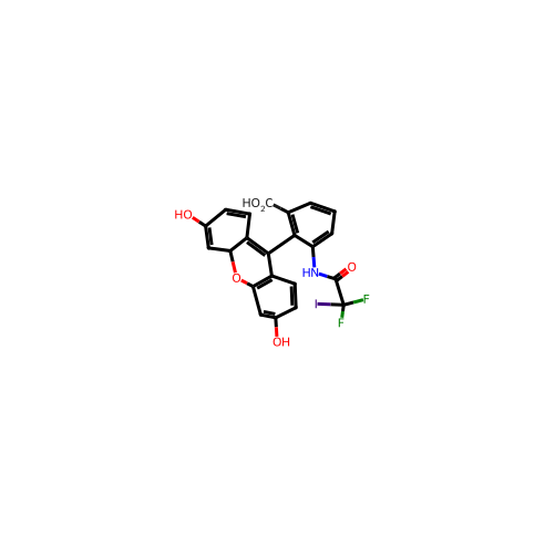 O=C(O)c1cccc(NC(=O)C(F)(F)I)c1C1=C2C=CC(O)=CC2Oc2cc(O)ccc21